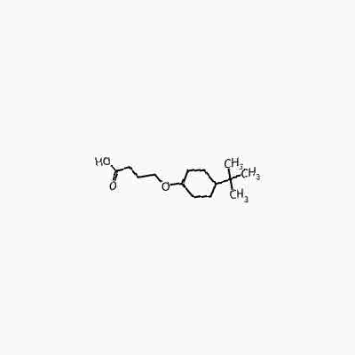 CC(C)(C)C1CCC(OCCCC(=O)O)CC1